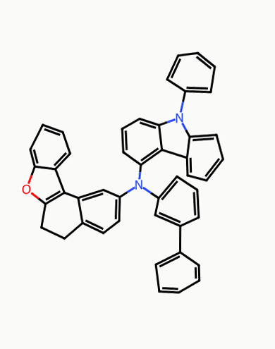 c1ccc(-c2cccc(N(c3ccc4c(c3)-c3c(oc5ccccc35)CC4)c3cccc4c3c3ccccc3n4-c3ccccc3)c2)cc1